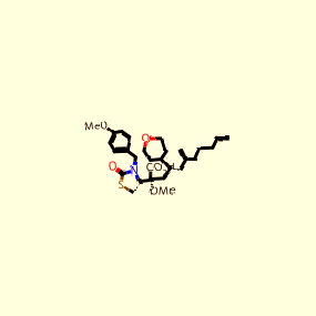 C=CCCCC(=C)C[C@H](C[C@](OC)(C(=O)O)[C@@H]1CSC(=O)N1Cc1ccc(OC)cc1)C1CCOCC1